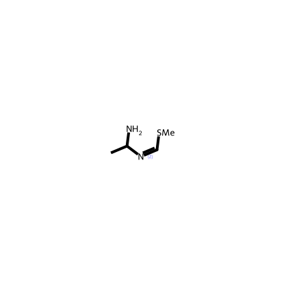 CS/C=N\C(C)N